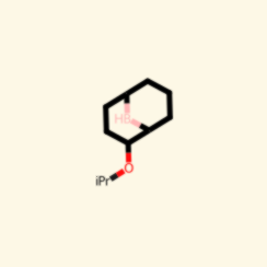 CC(C)OC1CCC2BC1CCC2